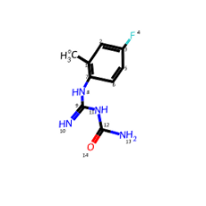 Cc1cc(F)ccc1NC(=N)NC(N)=O